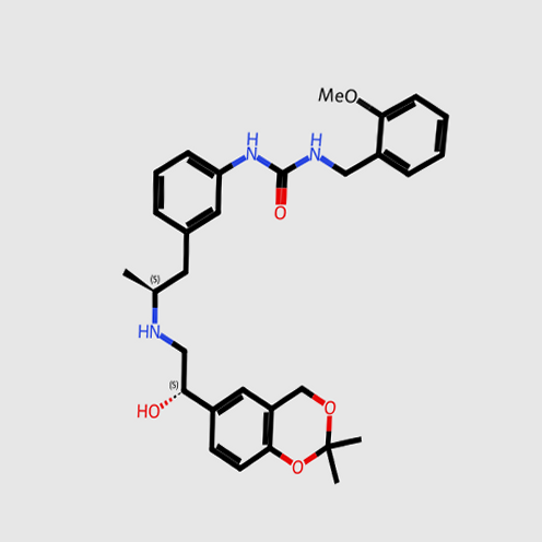 COc1ccccc1CNC(=O)Nc1cccc(C[C@H](C)NC[C@@H](O)c2ccc3c(c2)COC(C)(C)O3)c1